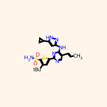 CC=Cc1cnc(-c2cc(C(C)(C)C)c(S(N)(=O)=O)s2)nc1Nc1cc(C2CC2)[nH]n1